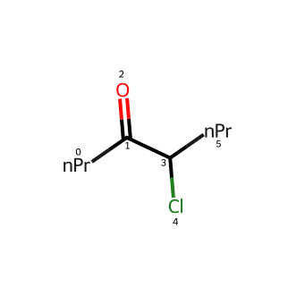 CCCC(=O)C(Cl)CCC